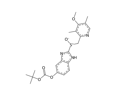 COc1c(C)cnc(C[S+]([O-])c2nc3cc(OC(=O)OC(C)(C)C)ccc3[nH]2)c1C